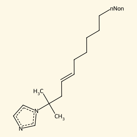 CCCCCCCCCCCCCCC=CCC(C)(C)n1ccnc1